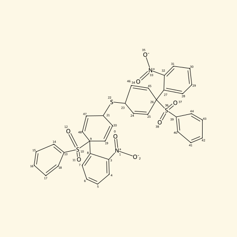 O=[N+]([O-])c1ccccc1C1(S(=O)(=O)c2ccccc2)C=CC(SC2C=CC(c3ccccc3[N+](=O)[O-])(S(=O)(=O)c3ccccc3)C=C2)C=C1